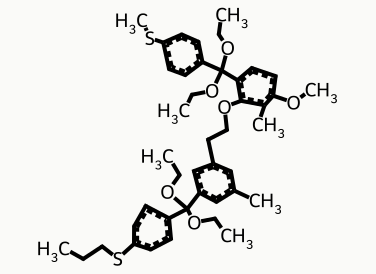 CCCSc1ccc(C(OCC)(OCC)c2cc(C)cc(CCOc3c(C(OCC)(OCC)c4ccc(SC)cc4)ccc(OC)c3C)c2)cc1